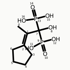 CC(=C1CCCC1)C(O)(P(=O)(O)O)P(=O)(O)O